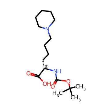 CC(C)(C)OC(=O)N[C@@H](CCCCN1CCCCC1)C(=O)O